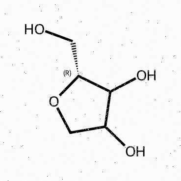 OC[C@H]1OCC(O)C1O